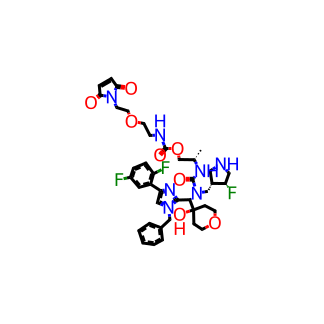 C[C@@H](COC(=O)NCCOCCN1C(=O)C=CC1=O)NC(=O)N(C[C@@H]1CNC[C@@H]1F)[C@@H](c1nc(-c2cc(F)ccc2F)cn1Cc1ccccc1)C1(O)CCOCC1